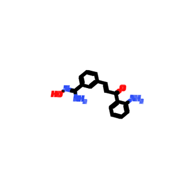 N/C(=N\O)c1cccc(/C=C/C(=O)c2ccccc2N)c1